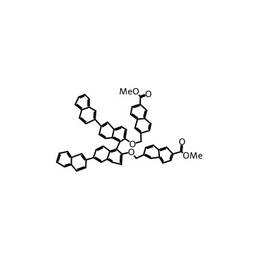 COC(=O)c1ccc2cc(COc3ccc4cc(-c5ccc6ccccc6c5)ccc4c3-c3c(OCc4ccc5cc(C(=O)OC)ccc5c4)ccc4cc(-c5ccc6ccccc6c5)ccc34)ccc2c1